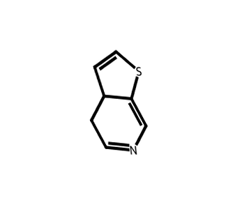 C1=CC2CC=NC=C2S1